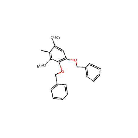 COc1c(C)c(C=O)cc(OCc2ccccc2)c1OCc1ccccc1